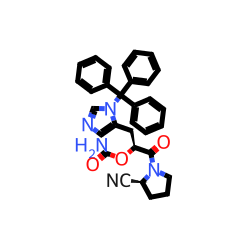 N#C[C@@H]1CCCN1C(=O)[C@H](Cc1cncn1C(c1ccccc1)(c1ccccc1)c1ccccc1)OC(N)=O